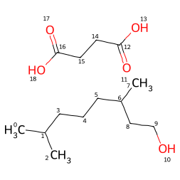 CC(C)CCCC(C)CCO.O=C(O)CCC(=O)O